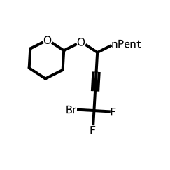 CCCCCC(C#CC(F)(F)Br)OC1CCCCO1